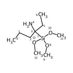 CCCC(N)(CC)[Si](OC)(OC)OC